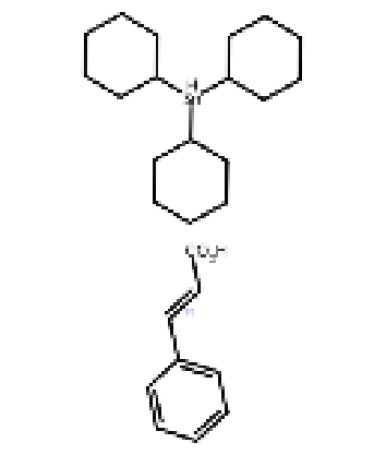 C1CC[CH]([SnH]([CH]2CCCCC2)[CH]2CCCCC2)CC1.O=C(O)/C=C/c1ccccc1